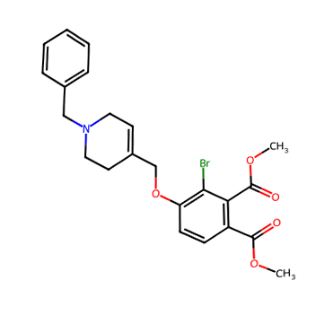 COC(=O)c1ccc(OCC2=CCN(Cc3ccccc3)CC2)c(Br)c1C(=O)OC